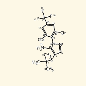 CC(C)(C)Sc1cnn(-c2c(Cl)cc(C(F)(F)F)cc2Cl)c1N